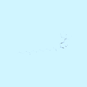 CCCCCCCCCCCCOc1coc([Si](CC)(CC)CC)c1